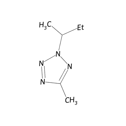 CCC(C)n1nnc(C)n1